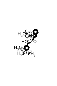 COc1cc(C(O)CNC(=O)c2cc3ccccc3n2C(=O)OC(C)(C)C)cc(OC)c1OC